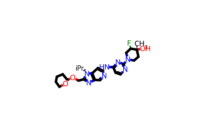 CC(C)n1c(COC2CCCCO2)nc2cnc(Nc3ccnc(N4CC[C@](C)(O)[C@H](F)C4)n3)cc21